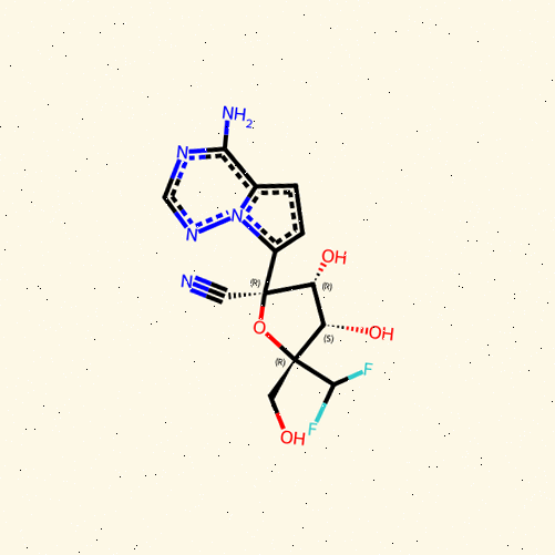 N#C[C@@]1(c2ccc3c(N)ncnn23)O[C@@](CO)(C(F)F)[C@@H](O)[C@H]1O